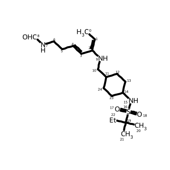 C/C=C(\C=C\CCNC=O)NCC1CCC(NS(=O)(=O)C(C)(C)CC)CC1